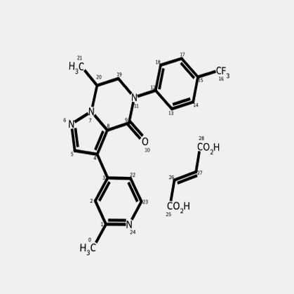 Cc1cc(-c2cnn3c2C(=O)N(c2ccc(C(F)(F)F)cc2)CC3C)ccn1.O=C(O)C=CC(=O)O